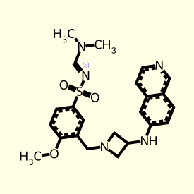 COc1ccc(S(=O)(=O)/N=C/N(C)C)cc1CN1CC(Nc2ccc3cnccc3c2)C1